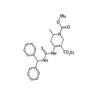 CCOC(=O)C1=C(NC(=S)NC(c2ccccc2)c2ccccc2)CC(C)N(C(=O)OC(C)(C)C)C1